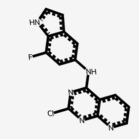 Fc1cc(Nc2nc(Cl)nc3ncccc23)cc2cc[nH]c12